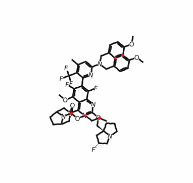 CCCCOC(=O)N1C2CCC1CN(c1nc(OC[C@@]34CCCN3C[C@H](F)C4)nc3c(F)c(-c4nc(N(Cc5ccc(OC)cc5)Cc5ccc(OC)cc5)cc(C)c4C(F)(F)F)c(F)c(OC)c13)C2